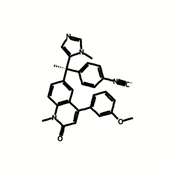 [C-]#[N+]c1ccc([C@@](C)(c2ccc3c(c2)c(-c2cccc(OC)c2)cc(=O)n3C)c2cncn2C)cc1